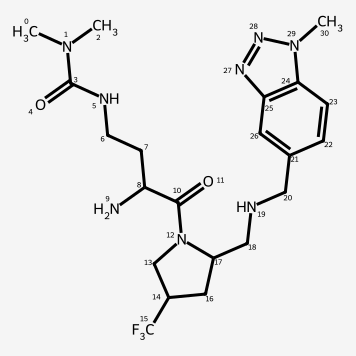 CN(C)C(=O)NCCC(N)C(=O)N1CC(C(F)(F)F)CC1CNCc1ccc2c(c1)nnn2C